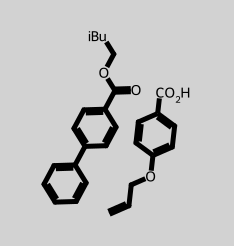 C=CCOc1ccc(C(=O)O)cc1.CCC(C)COC(=O)c1ccc(-c2ccccc2)cc1